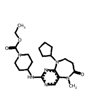 CCOC(=O)N1CCC(Nc2ncc3c(n2)N(C2CCCC2)CCC(=O)N3C)CC1